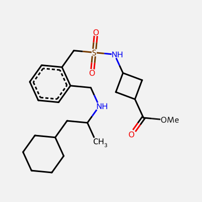 COC(=O)C1CC(NS(=O)(=O)Cc2ccccc2CNC(C)CC2CCCCC2)C1